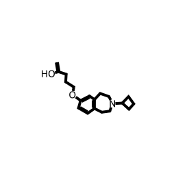 C=C(O)CCCOc1ccc2c(c1)CCN(C1CCC1)CC2